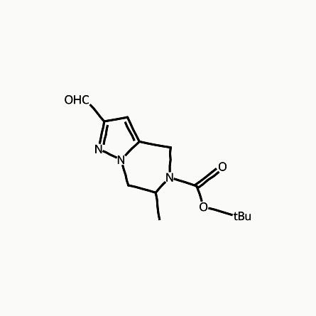 CC1Cn2nc(C=O)cc2CN1C(=O)OC(C)(C)C